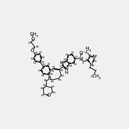 CCCn1cnc(C)c1C[S@+]([O-])c1ccc2nc(/C3=C/c4cc(-c5ccc(OCCOC)cc5)ccc4N(CC4CCOCC4)CCC3)[nH]c2c1